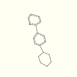 c1ccc(-c2ccc(C3CCCCC3)cc2)nc1